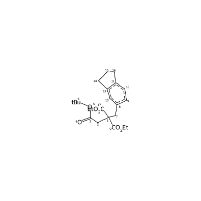 CCOC(=O)C(CC(=O)OC(C)(C)C)(Cc1ccc2c(c1)CCC2)C(=O)OCC